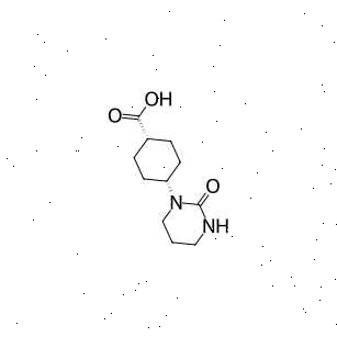 O=C1NCCCN1[C@H]1CC[C@@H](C(=O)O)CC1